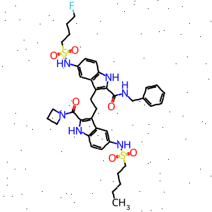 CCCCCS(=O)(=O)Nc1ccc2[nH]c(C(=O)N3CCC3)c(CCc3c(C(=O)NCc4ccccc4)[nH]c4ccc(NS(=O)(=O)CCCCF)cc34)c2c1